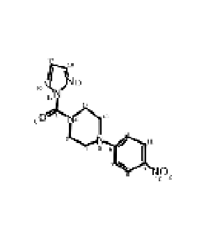 O=C(N1CCN(c2ccc([N+](=O)[O-])cc2)CC1)n1nccn1